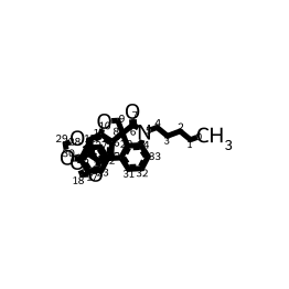 CCCCCN1C(=O)C2(COc3cc4c(cc32)OCO4)c2c(-c3ccc4c(c3)OCO4)cccc21